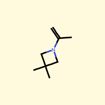 C=C(C)N1CC(C)(C)C1